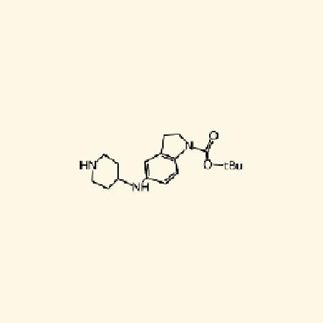 CC(C)(C)OC(=O)N1CCc2cc(NC3CCNCC3)ccc21